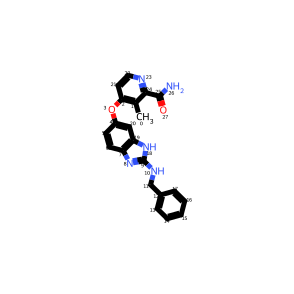 Cc1c(Oc2ccc3nc(NCc4ccccc4)[nH]c3c2)ccnc1C(N)=O